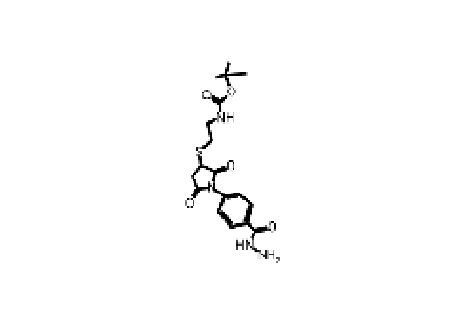 CC(C)(C)OC(=O)NCCSC1CC(=O)N(c2ccc(C(=O)NN)cc2)C1=O